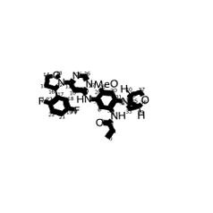 C=CC(=O)Nc1cc(Nc2cc(N3OCC[C@@H]3c3cc(F)ccc3F)ncn2)c(OC)cc1N1C[C@H]2C[C@@H]1CO2